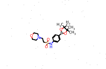 CC1(C)OB(c2ccc(NS(=O)(=O)CCN3CCOCC3)cc2)OC1(C)C